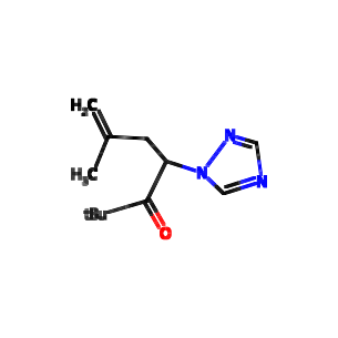 C=C(C)CC(C(=O)C(C)(C)C)n1cncn1